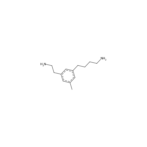 Cc1cc(CCN)cc(CCCCN)c1